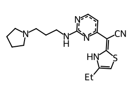 CCC1=CS/C(=C(\C#N)c2ccnc(NCCCN3CCCC3)n2)N1